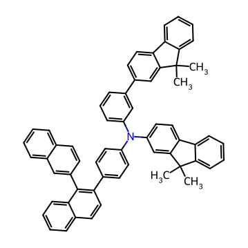 CC1(C)c2ccccc2-c2ccc(-c3cccc(N(c4ccc(-c5ccc6ccccc6c5-c5ccc6ccccc6c5)cc4)c4ccc5c(c4)C(C)(C)c4ccccc4-5)c3)cc21